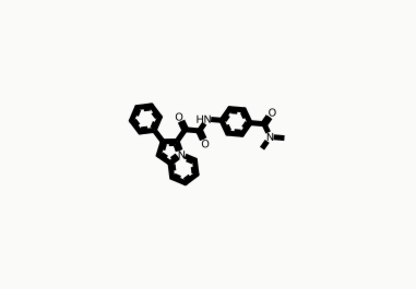 CN(C)C(=O)c1ccc(NC(=O)C(=O)c2c(-c3ccccc3)cc3ccccn23)cc1